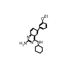 CCOc1cccc(-c2ccc3nc(N)nc(NC4CCCCC4)c3c2)c1